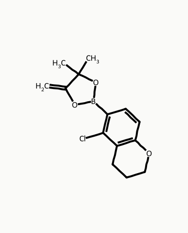 C=C1OB(c2ccc3c(c2Cl)CCCO3)OC1(C)C